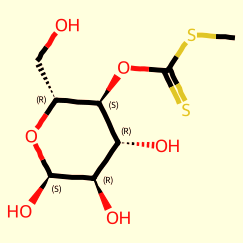 CSC(=S)O[C@H]1[C@H](O)[C@@H](O)[C@@H](O)O[C@@H]1CO